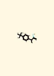 C=C(F)C(C)c1ccc(C(C)(C)C)cc1